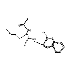 CSCCC(NC(C)=O)C(=O)NCc1cc2ccccc2oc1=O